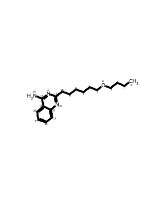 CCCCOCCCCCCc1nc(N)c2ccccc2n1